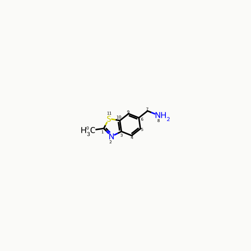 Cc1nc2ccc(CN)cc2s1